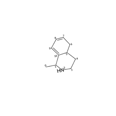 CC1NCCC2CC=CC=C21